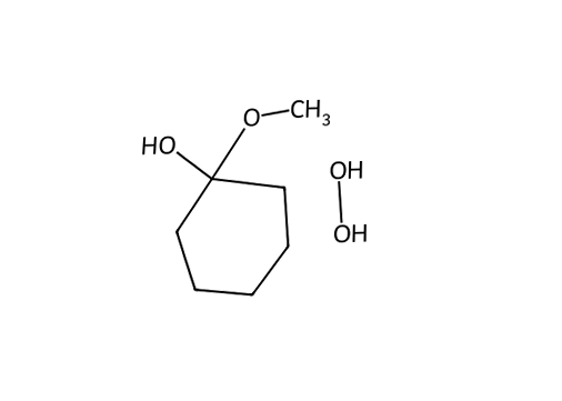 COC1(O)CCCCC1.OO